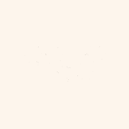 Cc1nc(-c2cccc(-c3ccccn3)c2)nc(-c2cccc(-c3ccccn3)c2)n1